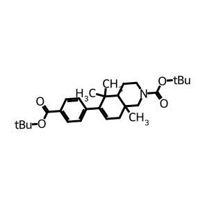 CC(C)(C)OC(=O)c1ccc(C2=CCC3(C)CN(C(=O)OC(C)(C)C)CCC3C2(C)C)cc1